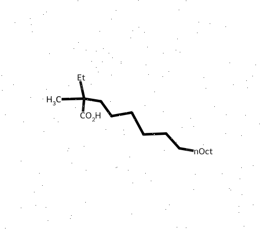 CCCCCCCCCCCCCCC(C)(CC)C(=O)O